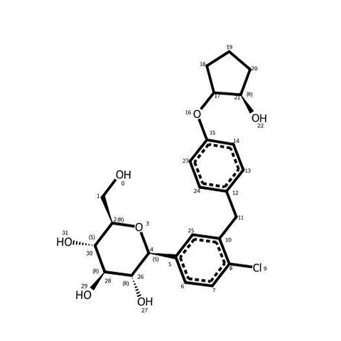 OC[C@H]1O[C@@H](c2ccc(Cl)c(Cc3ccc(OC4CCC[C@H]4O)cc3)c2)[C@H](O)[C@@H](O)[C@@H]1O